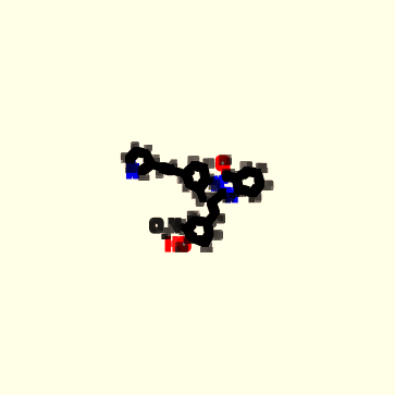 Cc1cc(C#Cc2cccnc2)ccc1-n1c(C=Cc2ccc(O)c([N+](=O)[O-])c2)nc2ccccc2c1=O